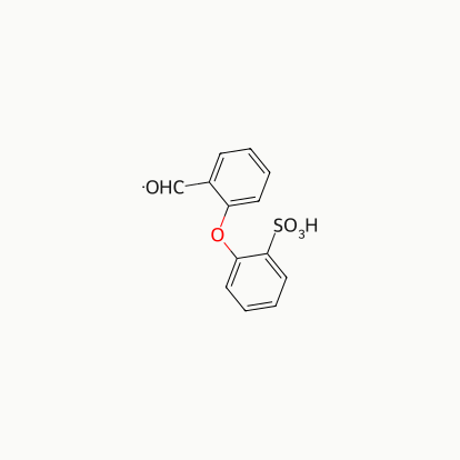 O=[C]c1ccccc1Oc1ccccc1S(=O)(=O)O